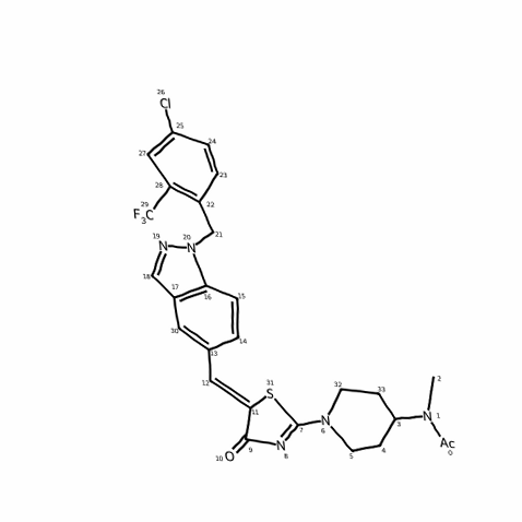 CC(=O)N(C)C1CCN(C2=NC(=O)/C(=C/c3ccc4c(cnn4Cc4ccc(Cl)cc4C(F)(F)F)c3)S2)CC1